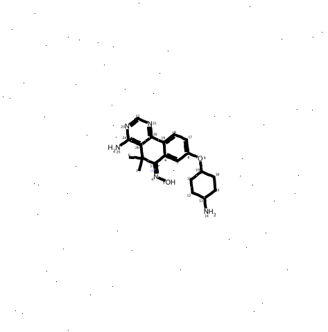 CC1(C)/C(=N/O)c2cc(OC3CCC(N)CC3)ccc2-c2ncnc(N)c21